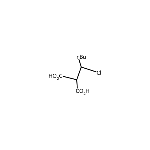 CCCCC(Cl)C(C(=O)O)C(=O)O